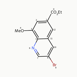 CCOC(=O)c1cc(OC)c2ncc(Br)cc2c1